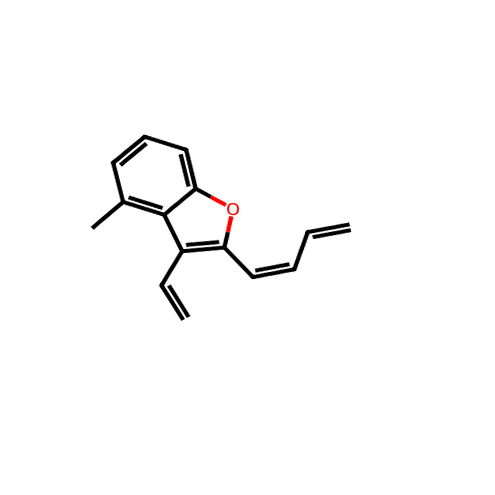 C=C/C=C\c1oc2cccc(C)c2c1C=C